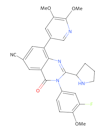 COc1ccc(-n2c(C3CCCN3)nc3c(-c4cnc(OC)c(OC)c4)cc(C#N)cc3c2=O)cc1F